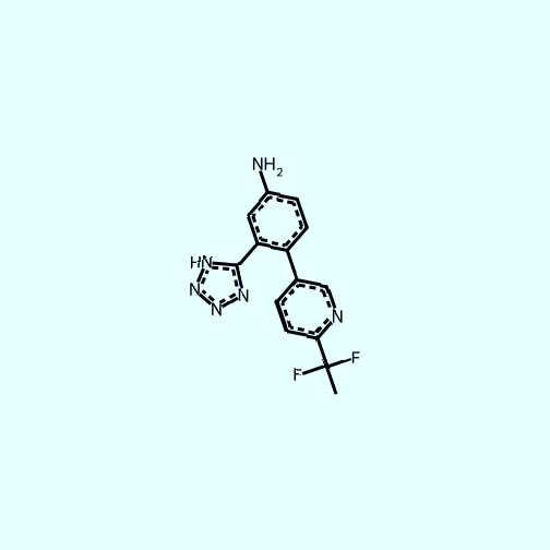 CC(F)(F)c1ccc(-c2ccc(N)cc2-c2nnn[nH]2)cn1